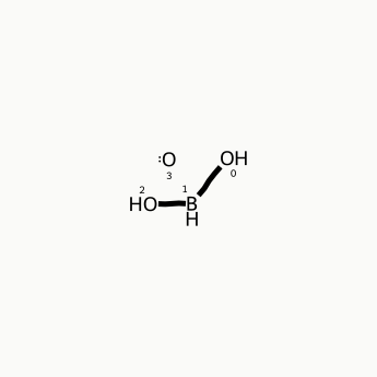 OBO.[O]